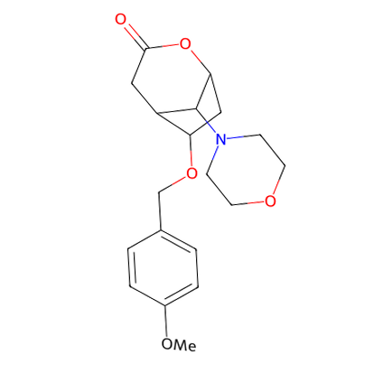 COc1ccc(COC2CC3OC(=O)CC2C3N2CCOCC2)cc1